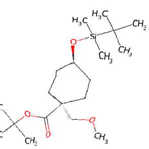 COC[C@]1(C(=O)OC(C)(C)C)CC[C@@H](O[Si](C)(C)C(C)(C)C)CC1